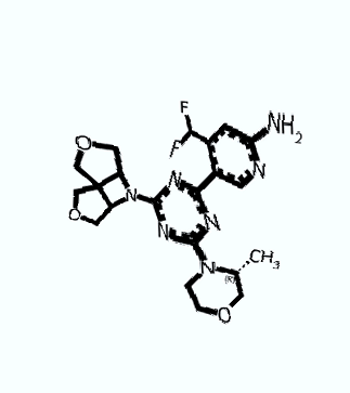 C[C@@H]1COCCN1c1nc(-c2cnc(N)cc2C(F)F)nc(N2C3COCC34COCC24)n1